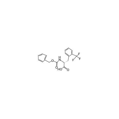 O=C(N[C@H](Cc1ccccc1C(F)(F)F)C(=O)O)OCc1ccccc1